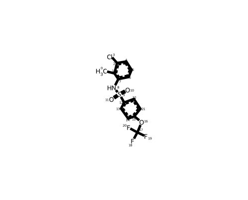 Cc1c(Cl)cccc1NS(=O)(=O)c1ccc(OC(F)(F)F)cc1